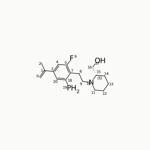 C=C(C)c1cc(F)c(CCN2CCCC[C@H]2CO)c(P)c1